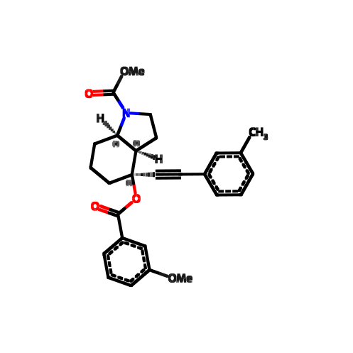 COC(=O)N1CC[C@@H]2[C@H]1CCC[C@]2(C#Cc1cccc(C)c1)OC(=O)c1cccc(OC)c1